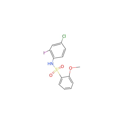 COc1ccccc1S(=O)(=O)Nc1ccc(Cl)cc1I